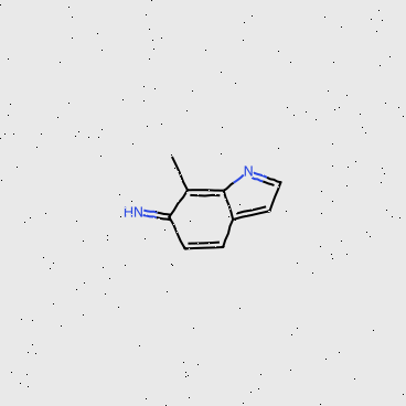 CC1=C2N=CC=C2C=CC1=N